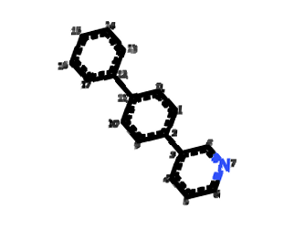 [c]1cc(-c2cccnc2)ccc1-c1ccccc1